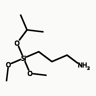 CO[Si](CCCN)(OC)OC(C)C